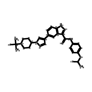 CC(F)Oc1ccc(NC(=O)c2n[nH]c3ccc(-c4cnn(C5CCN(C(C)(C)F)CC5)c4)cc23)cc1